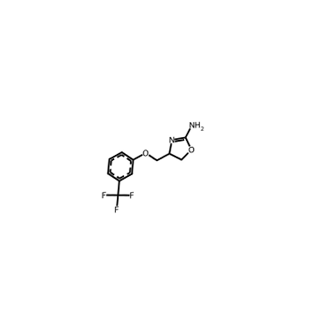 NC1=NC(COc2cccc(C(F)(F)F)c2)CO1